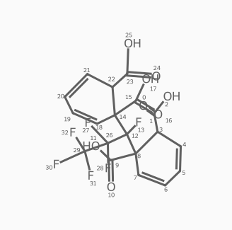 O=C(O)C1C=CC=CC1(C(=O)O)C(F)(C1(C(=O)O)C=CC=CC1C(=O)O)C(F)(F)C(F)(F)F